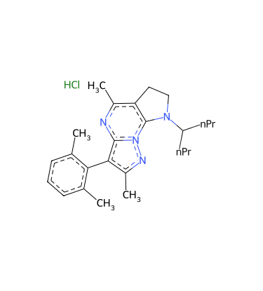 CCCC(CCC)N1CCc2c(C)nc3c(-c4c(C)cccc4C)c(C)nn3c21.Cl